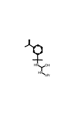 C=C(C)c1cccc(C(C)(C)NC(O)NCCC)c1